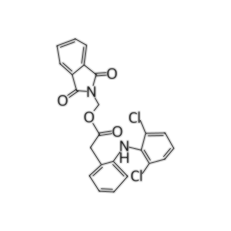 O=C(Cc1ccccc1Nc1c(Cl)cccc1Cl)OCN1C(=O)c2ccccc2C1=O